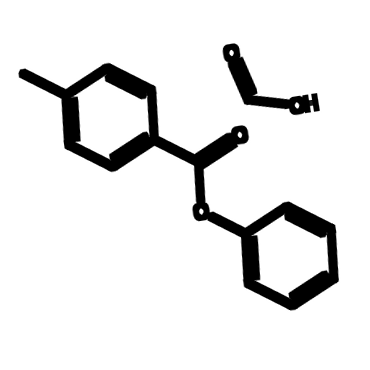 Cc1ccc(C(=O)Oc2ccccc2)cc1.O=CO